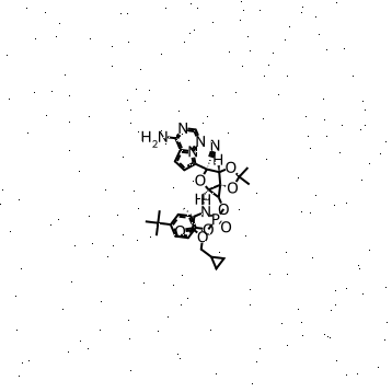 C[C@H](NP(=O)(Oc1ccc(C(C)(C)C)cc1)OC1[C@H]2O[C@@](C#N)(c3ccc4c(N)ncnn34)[C@@H]3OC(C)(C)O[C@]123)C(=O)OCC1CC1